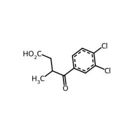 CC(CC(=O)O)C(=O)c1ccc(Cl)c(Cl)c1